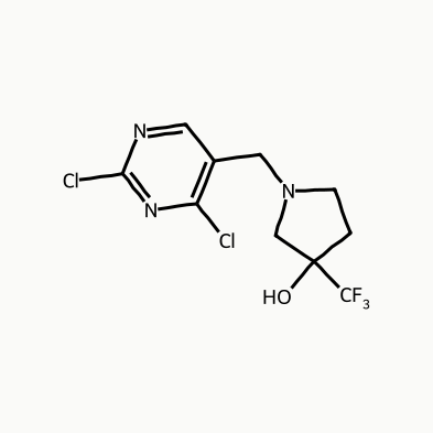 OC1(C(F)(F)F)CCN(Cc2cnc(Cl)nc2Cl)C1